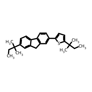 CCC(C)(C)c1ccc2c(c1)Cc1cc(-c3ccc(C(C)(C)CC)s3)ccc1-2